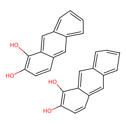 Oc1ccc2cc3ccccc3cc2c1O.Oc1ccc2cc3ccccc3cc2c1O